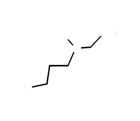 O=C(O)C[S+]([O-])CCCO